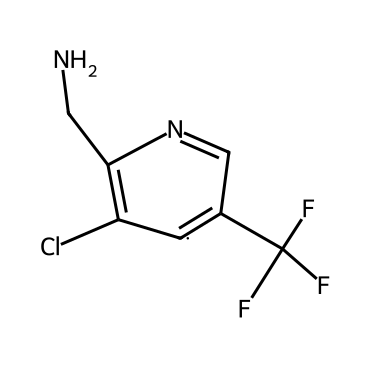 NCc1ncc(C(F)(F)F)[c]c1Cl